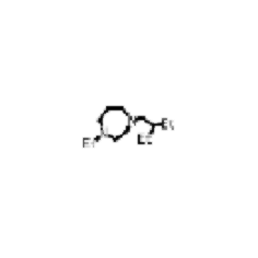 CCC(CC)CN1CCCN(CC)CC1